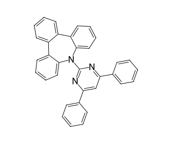 c1ccc(-c2cc(-c3ccccc3)nc(N3c4ccccc4-c4ccccc4-c4ccccc43)n2)cc1